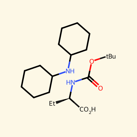 C1CCC(NC2CCCCC2)CC1.CC[C@@H](NC(=O)OC(C)(C)C)C(=O)O